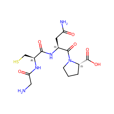 NCC(=O)N[C@@H](CS)C(=O)N[C@@H](CC(N)=O)C(=O)N1CCC[C@H]1C(=O)O